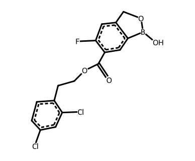 O=C(OCCc1ccc(Cl)cc1Cl)c1cc2c(cc1F)COB2O